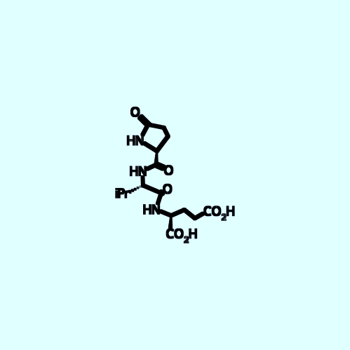 CC(C)[C@H](NC(=O)[C@@H]1CCC(=O)N1)C(=O)N[C@@H](CCC(=O)O)C(=O)O